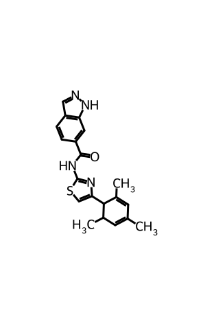 CC1=CC(C)C(c2csc(NC(=O)c3ccc4cn[nH]c4c3)n2)C(C)=C1